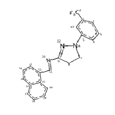 FC(F)(F)c1cccc(N2CCC(/N=C/c3cccc4ccccc34)=N2)c1